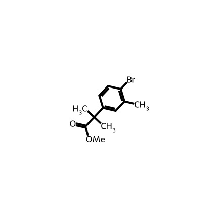 COC(=O)C(C)(C)c1ccc(Br)c(C)c1